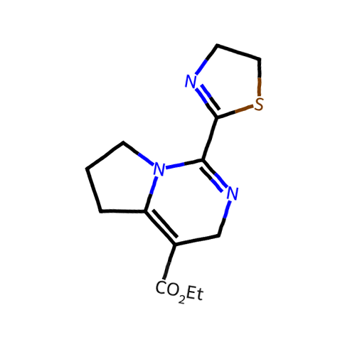 CCOC(=O)C1=C2CCCN2C(C2=NCCS2)=NC1